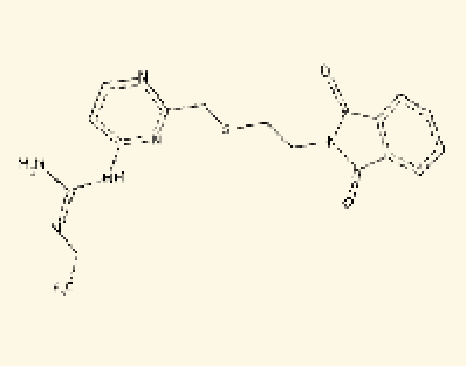 N/C(=N/CC(F)(F)F)Nc1ccnc(CSCCN2C(=O)c3ccccc3C2=O)n1